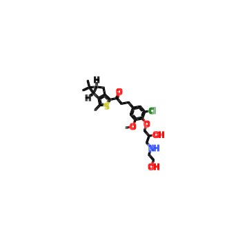 COc1cc(CCC(=O)c2sc(C)c3c2C[C@@H]2[C@H]3C2(C)C)cc(Cl)c1OCC(O)CNCCO